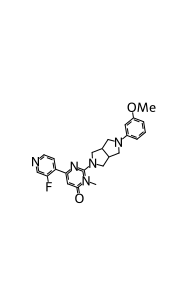 COc1cccc(N2CC3CN(c4nc(-c5ccncc5F)cc(=O)n4C)CC3C2)c1